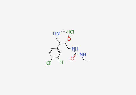 CCNC(=O)NCC1OCCNCC1c1ccc(Cl)c(Cl)c1.Cl